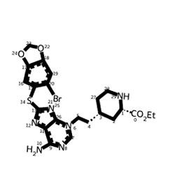 CCOC(=O)[C@@H]1C[C@H](CCn2cnc(N)c3nc(Sc4cc5c(cc4Br)OCO5)nc2-3)CCN1